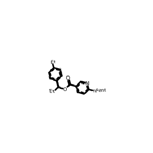 CCCCCc1ccc(C(=O)OC(CC)c2ccc(CC)cc2)cn1